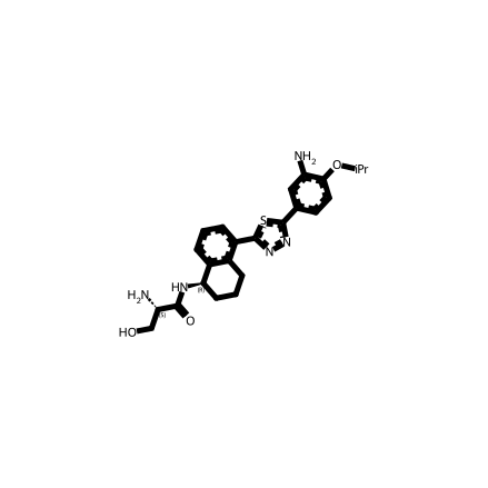 CC(C)Oc1ccc(-c2nnc(-c3cccc4c3CCC[C@H]4NC(=O)[C@@H](N)CO)s2)cc1N